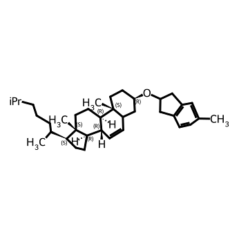 Cc1ccc2c(c1)CC(O[C@@H]1CC[C@]3(C)C(C=C[C@@H]4[C@H]5CC[C@@H](C(C)CCCC(C)C)[C@]5(C)CC[C@H]43)C1)C2